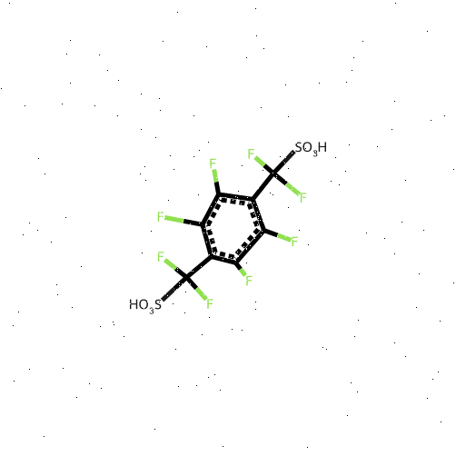 O=S(=O)(O)C(F)(F)c1c(F)c(F)c(C(F)(F)S(=O)(=O)O)c(F)c1F